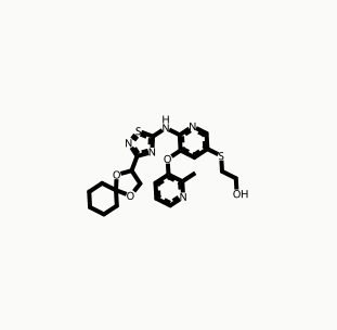 Cc1ncccc1Oc1cc(SCCO)cnc1Nc1nc(C2COC3(CCCCC3)O2)ns1